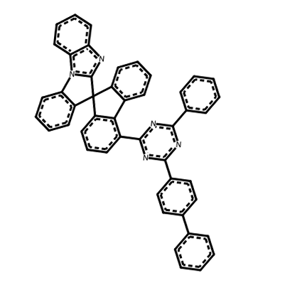 c1ccc(-c2ccc(-c3nc(-c4ccccc4)nc(-c4cccc5c4-c4ccccc4C54c5ccccc5-n5c4nc4ccccc45)n3)cc2)cc1